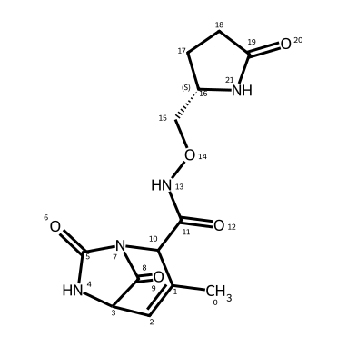 CC1=CC2NC(=O)N(C2=O)C1C(=O)NOC[C@@H]1CCC(=O)N1